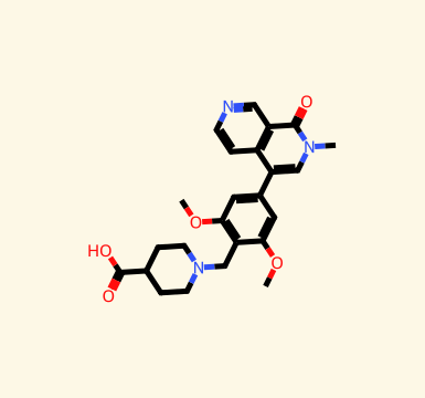 COc1cc(-c2cn(C)c(=O)c3cnccc23)cc(OC)c1CN1CCC(C(=O)O)CC1